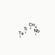 C.[Nb].[Ta].[Ti]